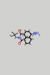 CC(C)(C)CN1C(=O)c2cccc3c(N)ccc(c23)C1=O